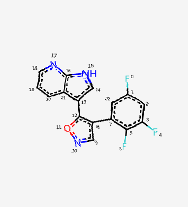 Fc1cc(F)c(F)c(-c2cnoc2-c2c[nH]c3ncccc23)c1